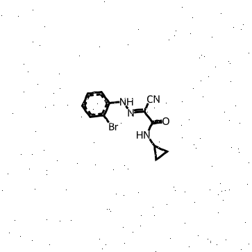 N#C/C(=N\Nc1ccccc1Br)C(=O)NC1CC1